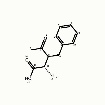 CC(=O)[C@@H](Cc1ccccc1)[C@H](N)C(=O)O